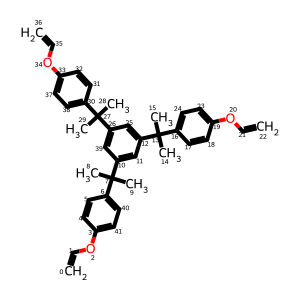 C=COc1ccc(C(C)(C)c2cc(C(C)(C)c3ccc(OC=C)cc3)cc(C(C)(C)c3ccc(OC=C)cc3)c2)cc1